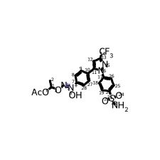 CC(=O)OC(C)O/N=[N+](\O)c1ccc(-c2cc(C(F)(F)F)nn2-c2ccc(S(N)(=O)=O)cc2)cc1